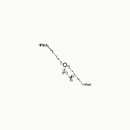 CCCCCC=CCC=CCCCCCCCCOc1ccc(OCCCCCCCCC=CCC=CCCCCC)c(COC(=O)OCCCN(CC)CC)c1